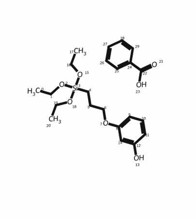 CCO[Si](CCCOc1cccc(O)c1)(OCC)OCC.O=C(O)c1ccccc1